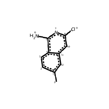 Cc1ccc2c(N)nc(Cl)cc2c1